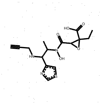 C#CCNC(c1cscn1)C(C)N(O)C(=O)C1OC1(CC)C(=O)O